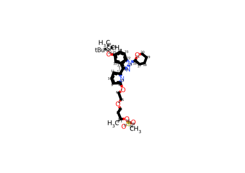 C[C@H](CCOCCOc1cccc(-c2nn(C3CCCCO3)c3ccc(O[Si](C)(C)C(C)(C)C)cc23)n1)OS(C)(=O)=O